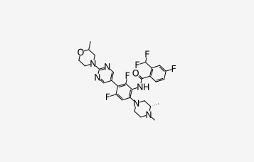 CC1CN(c2ncc(-c3c(F)cc(N4CCN(C)[C@@H](C)C4)c(NC(=O)c4ccc(F)cc4C(F)F)c3F)cn2)CCO1